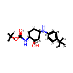 CC(C)(C)OC(=O)NC1CCC(Nc2ccc(C(C)(C)C)cc2)CC1O